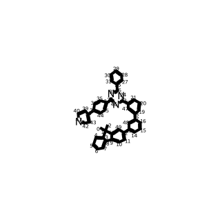 CC1(C)c2ccccc2-c2ccc(-c3cccc(-c4cccc(-c5nc(-c6ccccc6)nc(-c6ccc(-c7ccncc7)cc6)n5)c4)c3)cc21